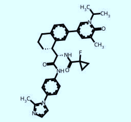 Cc1cc(-c2ccc3c(c2)[C@H]([C@H](NC(=O)C2(F)CC2)C(=O)Nc2ccc(-n4ccnc4C)cc2)CCC3)cn(C(C)C)c1=O